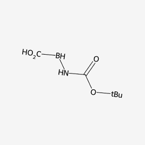 CC(C)(C)OC(=O)NBC(=O)O